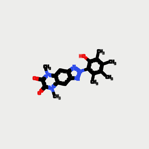 Cc1c(C)c(C)c(-n2nc3cc4c(cc3n2)n(C)c(=O)c(=O)n4C)c(O)c1C